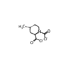 CC1CCN(C(=O)Cl)C(C(=O)Cl)C1